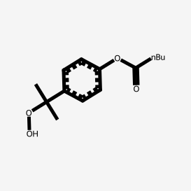 CCCCC(=O)Oc1ccc(C(C)(C)OO)cc1